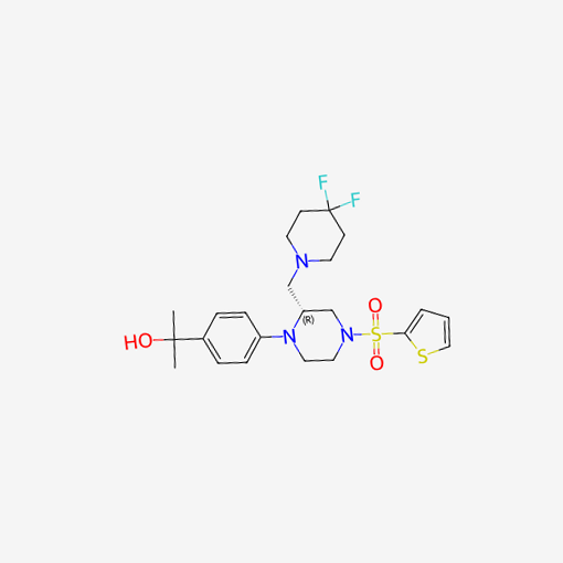 CC(C)(O)c1ccc(N2CCN(S(=O)(=O)c3cccs3)C[C@H]2CN2CCC(F)(F)CC2)cc1